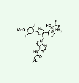 COc1cc(F)c(-c2cc(Cn3cnc4c(NC(=O)CN(C)C)ncnc43)c(N3CCC[C@](N)([C@H](O)C(F)F)C3)cn2)cc1F